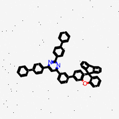 c1ccc(-c2ccc(-c3cc(-c4cccc(-c5ccc6c(c5)Oc5ccccc5C65c6ccccc6-c6ccccc65)c4)nc(-c4ccc(-c5ccccc5)cc4)n3)cc2)cc1